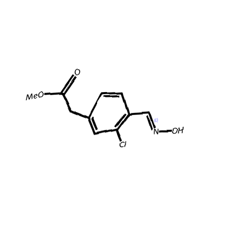 COC(=O)Cc1ccc(/C=N/O)c(Cl)c1